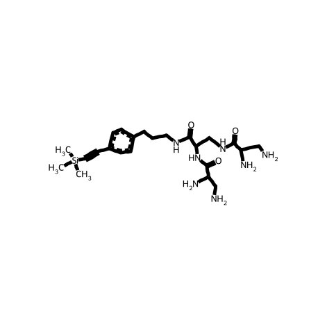 C[Si](C)(C)C#Cc1ccc(CCCNC(=O)C(CNC(=O)C(N)CN)NC(=O)C(N)CN)cc1